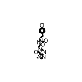 Cn1cnc2ncn(Cc3nn(CCc4ccc(Cl)cc4)c(=O)o3)c(=O)c21